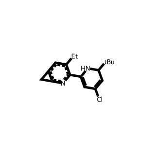 CCc1cc2c(nc1C1=CC(Cl)=CC(C(C)(C)C)N1)C2